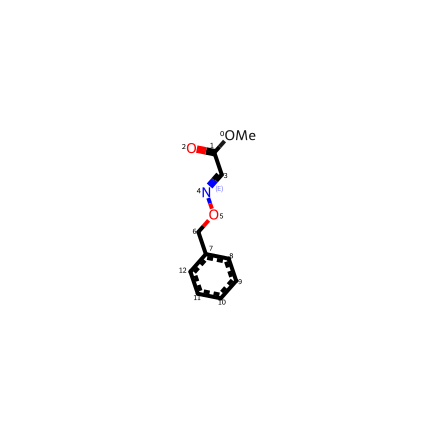 COC(=O)/C=N/OCc1ccccc1